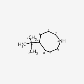 CC(C)(C)C1CCCNCCC1